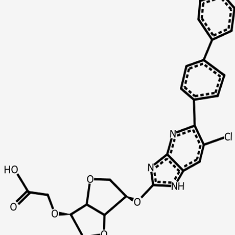 O=C(O)CO[C@@H]1COC2C1OC[C@H]2Oc1nc2nc(-c3ccc(-c4ccccc4)cc3)c(Cl)cc2[nH]1